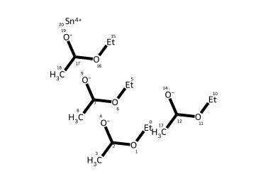 CCOC(C)[O-].CCOC(C)[O-].CCOC(C)[O-].CCOC(C)[O-].[Sn+4]